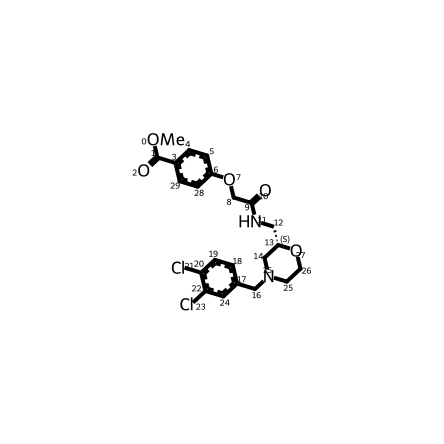 COC(=O)c1ccc(OCC(=O)NC[C@H]2CN(Cc3ccc(Cl)c(Cl)c3)CCO2)cc1